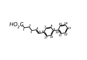 O=C(O)CCC/C=C/c1ccc(-c2ccccc2)cc1